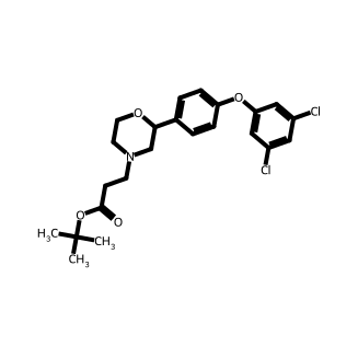 CC(C)(C)OC(=O)CCN1CCOC(c2ccc(Oc3cc(Cl)cc(Cl)c3)cc2)C1